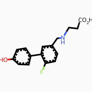 O=C(O)CCNCc1ccc(F)c(-c2ccc(O)cc2)c1